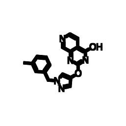 Cc1cccc(Cn2cc(Oc3nc(O)c4ccncc4n3)cn2)c1